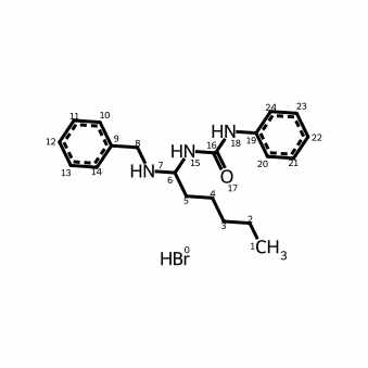 Br.CCCCCC(NCc1ccccc1)NC(=O)Nc1ccccc1